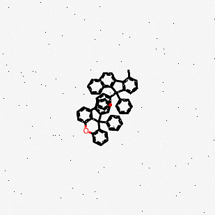 Cc1cccc2c1-c1ccc3ccccc3c1C2(c1ccccc1)c1ccc(-c2cccc3c2C(c2ccccc2)(c2ccccc2)c2ccccc2O3)cc1